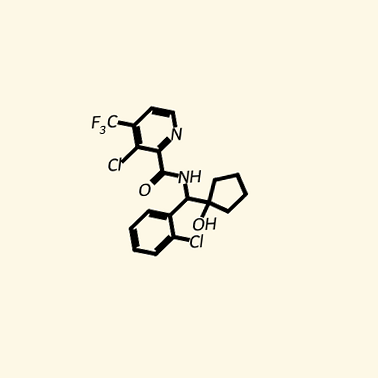 O=C(NC(c1ccccc1Cl)C1(O)CCCC1)c1nccc(C(F)(F)F)c1Cl